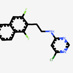 Fc1cc2ccccc2c(F)c1CCNc1cc(Cl)ncn1